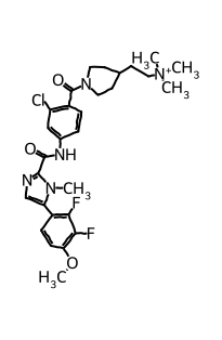 COc1ccc(-c2cnc(C(=O)Nc3ccc(C(=O)N4CCC(CC[N+](C)(C)C)CC4)c(Cl)c3)n2C)c(F)c1F